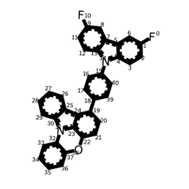 Fc1ccc2c(c1)c1cc(F)ccc1n2-c1ccc(-c2ccc3c4c2c2ccccc2n4-c2ccccc2O3)cc1